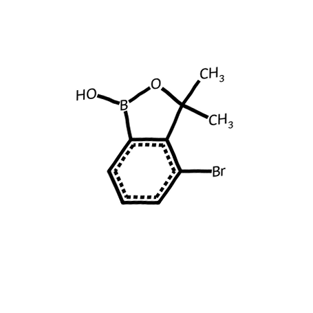 CC1(C)OB(O)c2cccc(Br)c21